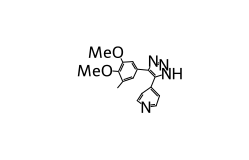 COc1cc(-c2nn[nH]c2-c2ccncc2)cc(C)c1OC